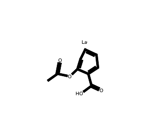 CC(=O)Oc1ccccc1C(=O)O.[La]